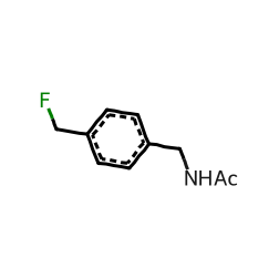 CC(=O)NCc1ccc(CF)cc1